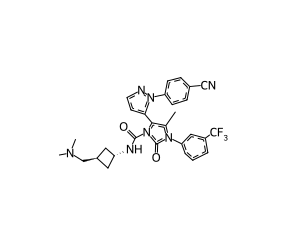 Cc1c(-c2ccnn2-c2ccc(C#N)cc2)n(C(=O)N[C@H]2C[C@H](CN(C)C)C2)c(=O)n1-c1cccc(C(F)(F)F)c1